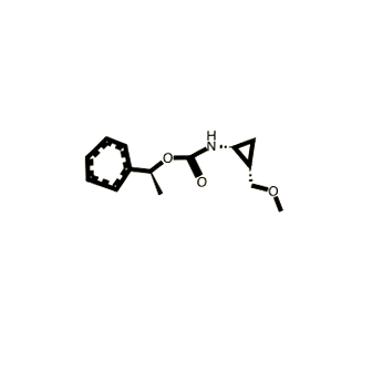 COC[C@H]1C[C@H]1NC(=O)O[C@@H](C)c1ccccc1